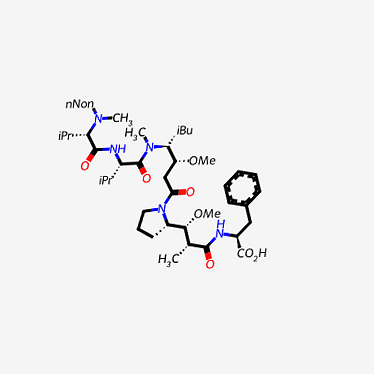 CCCCCCCCCN(C)[C@H](C(=O)N[C@H](C(=O)N(C)[C@@H]([C@@H](C)CC)[C@@H](CC(=O)N1CCC[C@H]1[C@H](OC)[C@@H](C)C(=O)N[C@@H](Cc1ccccc1)C(=O)O)OC)C(C)C)C(C)C